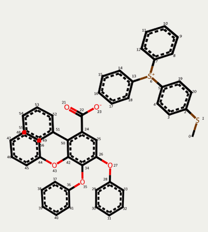 CSc1ccc([S+](c2ccccc2)c2ccccc2)cc1.O=C([O-])c1cc(Oc2ccccc2)c(Oc2ccccc2)c(Oc2ccccc2)c1-c1ccccc1